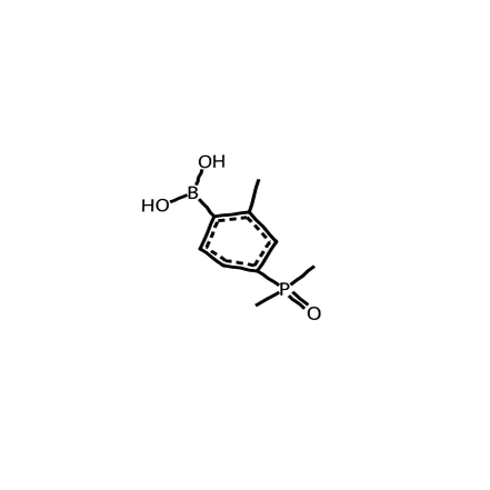 Cc1cc(P(C)(C)=O)ccc1B(O)O